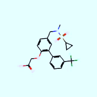 CN(Cc1ccc(OCC(=O)O)c(-c2cccc(C(F)(F)F)c2)c1)S(=O)(=O)C1CC1